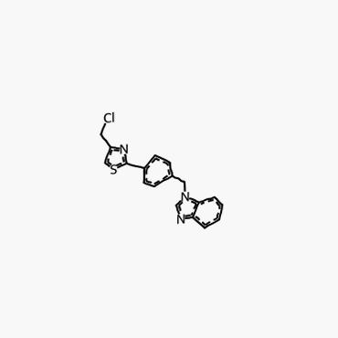 ClCc1csc(-c2ccc(Cn3cnc4ccccc43)cc2)n1